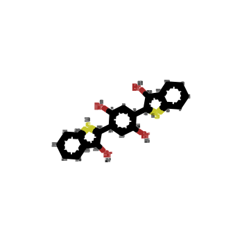 Brc1cc(-c2sc3ccccc3c2Br)c(Br)cc1-c1sc2ccccc2c1Br